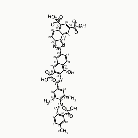 Cc1ccc(N=Nc2c(C)cc(N=Nc3c(S(=O)(=O)O)cc4cc(-n5nc6ccc7c(S(=O)(=O)O)cc(S(=O)(=O)O)cc7c6n5)ccc4c3O)cc2C)c(S(=O)(=O)O)c1